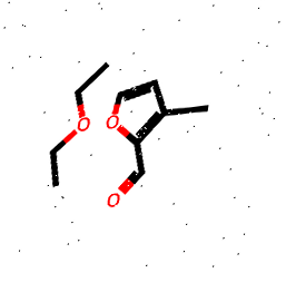 CCOCC.Cc1ccoc1C=O